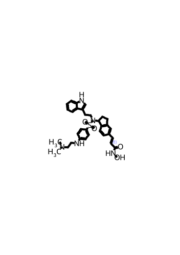 CN(C)CCNc1ccc(S(=O)(=O)N(CCc2c[nH]c3ccccc23)C2CCc3cc(/C=C/C(=O)NO)ccc32)cc1